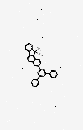 CC1(C)c2ccccc2-c2ccc3cc(-c4nc(-c5ccccc5)nc(-c5ccccc5)n4)ccc3c21